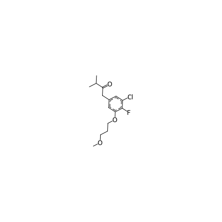 COCCCOc1cc(CC(=O)C(C)C)cc(Cl)c1F